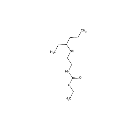 CCCC(CC)NCCNC(=O)OCC